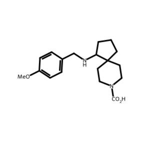 COc1ccc(CNC2CCCC23CCN(C(=O)O)CC3)cc1